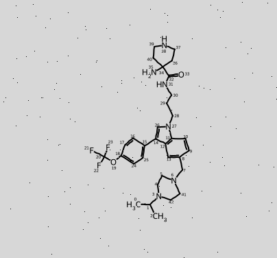 CC(C)N1CCN(Cc2ccc3c(c2)c(-c2ccc(OC(F)(F)F)cc2)cn3CCCNC(=O)C2(N)CCNCC2)CC1